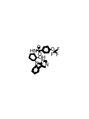 O=S(=O)(N[C@H]1CCC[C@@H](n2c3ccccc3c3cncnc32)[C@@H]1O)c1ccc(OC(F)(F)F)cc1